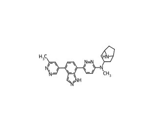 Cc1cc(-c2ccc(-c3ccc(N(C)C4CC5CCC(C4)N5)nn3)c3[nH]ncc23)cnn1